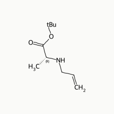 C=CCN[C@H](C)C(=O)OC(C)(C)C